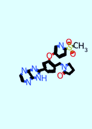 CS(=O)(=O)c1ccc(Oc2cc(-c3nc4nccnc4[nH]3)ccc2CN2CCCC2=O)cn1